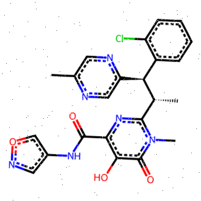 Cc1cnc([C@@H](c2ccccc2Cl)[C@H](C)c2nc(C(=O)Nc3cnoc3)c(O)c(=O)n2C)cn1